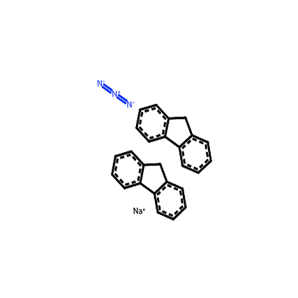 [N-]=[N+]=[N-].[Na+].c1ccc2c(c1)Cc1ccccc1-2.c1ccc2c(c1)Cc1ccccc1-2